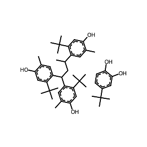 CC(C)(C)c1ccc(O)c(O)c1.Cc1cc(C(C)CC(c2cc(C)c(O)cc2C(C)(C)C)c2cc(C)c(O)cc2C(C)(C)C)c(C(C)(C)C)cc1O